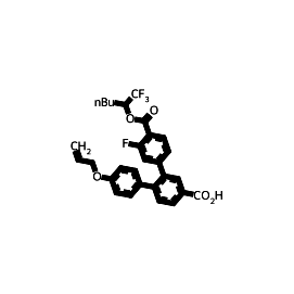 C=CCOc1ccc(-c2ccc(C(=O)O)cc2-c2ccc(C(=O)OC(CCCC)C(F)(F)F)c(F)c2)cc1